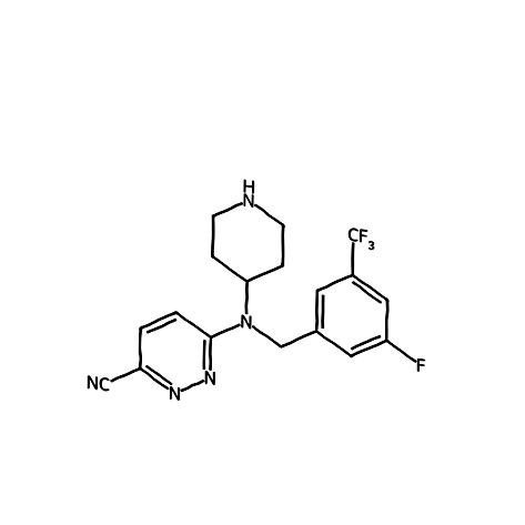 N#Cc1ccc(N(Cc2cc(F)cc(C(F)(F)F)c2)C2CCNCC2)nn1